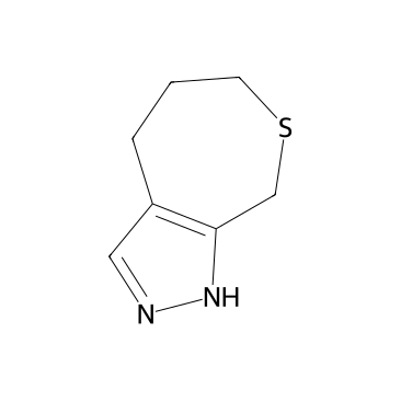 c1n[nH]c2c1CCCSC2